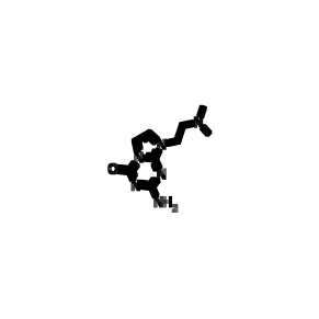 CN(C)CCn1ccn2c(=O)nc(N)nc12